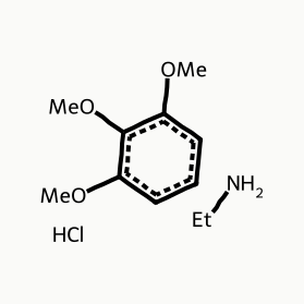 CCN.COc1cccc(OC)c1OC.Cl